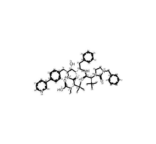 CN(C(=O)O)[C@H](C(=O)N[C@@H](Cc1ccc(-c2cccnc2)cc1)[C@H](O)C[C@H](Cc1ccccc1)NC(=O)[C@@H](N1CCN(Cc2ccccc2)C1=O)C(C)(C)C)C(C)(C)C